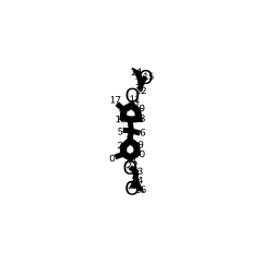 Cc1cc(C(C)(C)c2ccc(OCC3CO3)c(C)c2)ccc1OCC1CO1